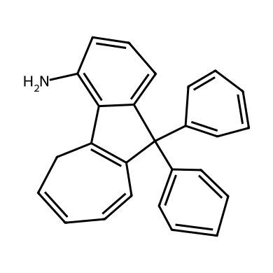 Nc1cccc2c1C1=C(C=CC=CC1)C2(c1ccccc1)c1ccccc1